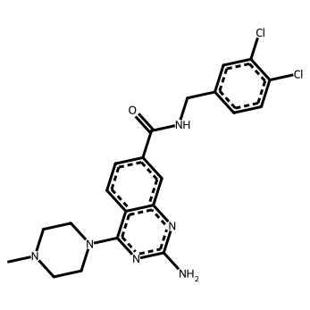 CN1CCN(c2nc(N)nc3cc(C(=O)NCc4ccc(Cl)c(Cl)c4)ccc23)CC1